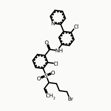 C=CC(CCCBr)S(=O)(=O)c1cccc(C(=O)Nc2ccc(Cl)c(-c3ccccn3)c2)c1Cl